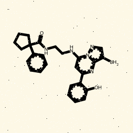 Bc1cnn2c(NCCNC(=O)C3(c4ccccc4)CCCC3)cc(-c3ccccc3O)nc12